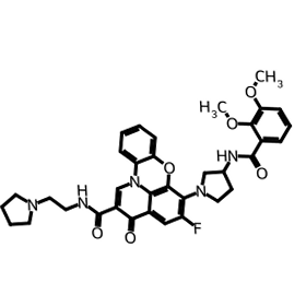 COc1cccc(C(=O)NC2CCN(c3c(F)cc4c(=O)c(C(=O)NCCN5CCCC5)cn5c4c3Oc3ccccc3-5)C2)c1OC